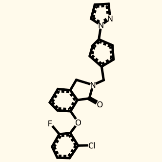 O=C1c2c(cccc2Oc2c(F)cccc2Cl)CN1Cc1ccc(-n2cccn2)cc1